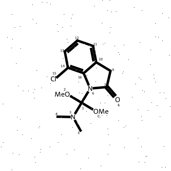 COC(OC)(N(C)C)N1C(=O)Cc2cccc(Cl)c21